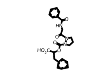 O=C(NCC(=O)N1CCCN1C(=O)OC(Cc1ccccc1)C(=O)O)c1ccccc1